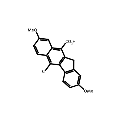 COc1ccc2c(c1)Cc1c-2c(Cl)c2ccc(OC)cc2c1C(=O)O